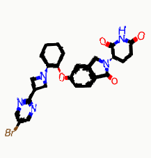 O=C1CC[C@H](N2Cc3cc(O[C@@H]4CCCC[C@@H]4N4CC(c5ncc(Br)cn5)C4)ccc3C2=O)C(=O)N1